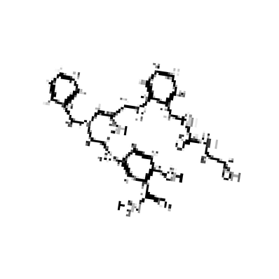 NC(=O)c1cc(OCCN(Cc2ccccc2)CC(O)COc2ccccc2CNC(=O)NCCO)ccc1O